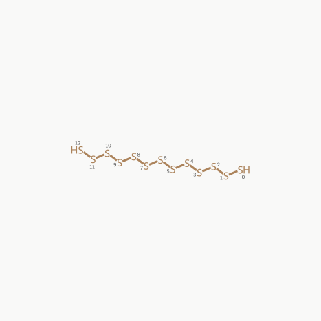 SSSSSSSSSSSSS